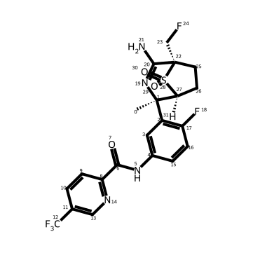 C[C@]1(c2cc(NC(=O)c3ccc(C(F)(F)F)cn3)ccc2F)N=C(N)[C@@]2(CF)CC[C@@H]1S2(=O)=O